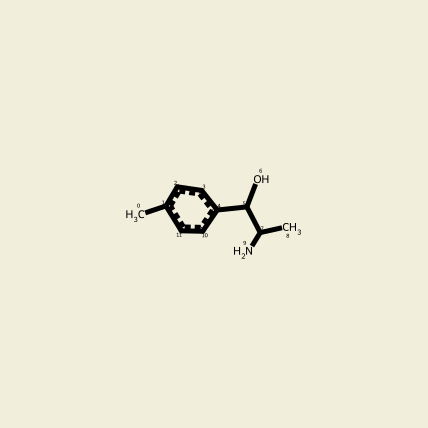 Cc1ccc(C(O)C(C)N)cc1